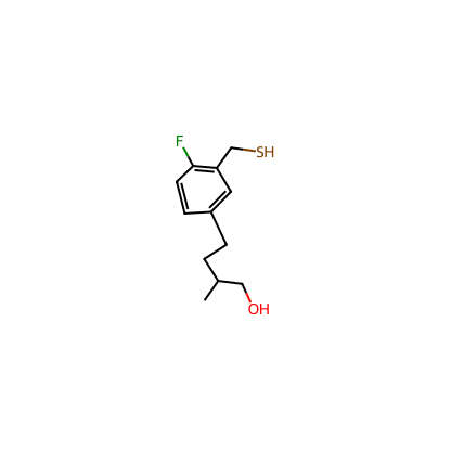 CC(CO)CCc1ccc(F)c(CS)c1